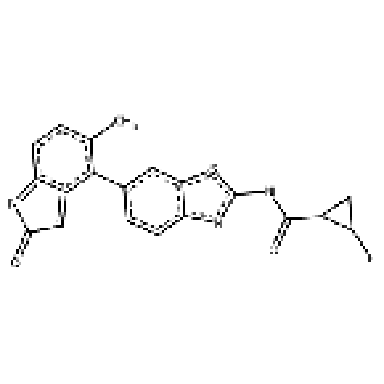 Cc1ccc2c(c1-c1ccc3nc(NC(=O)C4CC4F)sc3c1)=CC(=O)N=2